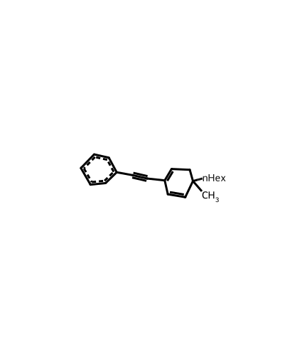 CCCCCCC1(C)C=CC(C#Cc2ccccc2)=CC1